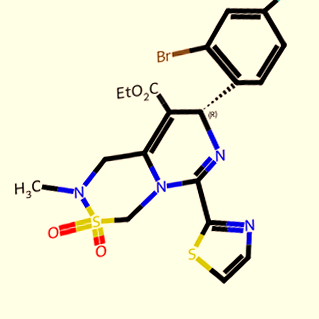 CCOC(=O)C1=C2CN(C)S(=O)(=O)CN2C(c2nccs2)=N[C@H]1c1ccc(F)cc1Br